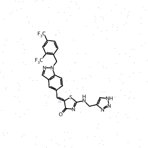 O=C1N=C(NCc2c[nH]nn2)S/C1=C\c1ccc2c(cnn2Cc2ccc(C(F)(F)F)cc2C(F)(F)F)c1